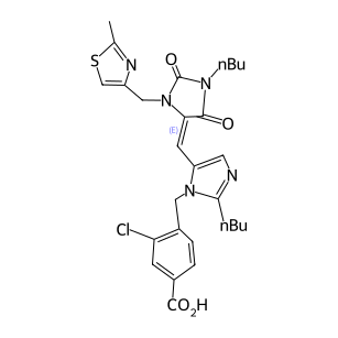 CCCCc1ncc(/C=C2\C(=O)N(CCCC)C(=O)N2Cc2csc(C)n2)n1Cc1ccc(C(=O)O)cc1Cl